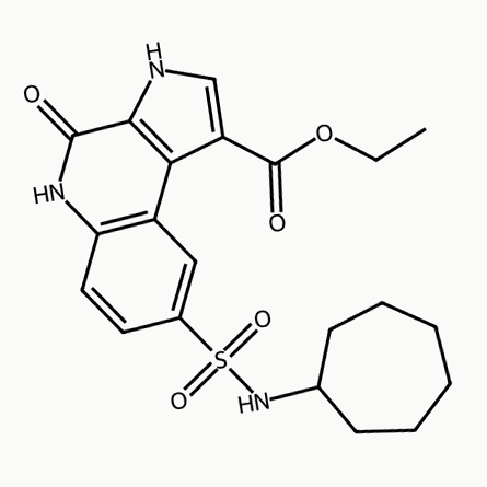 CCOC(=O)c1c[nH]c2c(=O)[nH]c3ccc(S(=O)(=O)NC4CCCCCC4)cc3c12